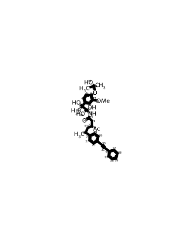 BC(O)(c1ccc(OC(C)(C)O)c(OC)c1)C(O)(O)NC(=O)CC(CC(C)c1ccc(C#Cc2ccccc2)cc1)C(C)=O